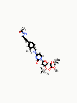 CC(C)(C)OC(=O)C(O[Si](C)(C)C(C)(C)C)[C@H]1O[C@@H](n2ccc(NCc3ccc(C#CCNC(=O)C(F)(F)F)cc3[N+](=O)[O-])nc2=O)C[C@@H]1O[Si](C)(C)C(C)(C)C